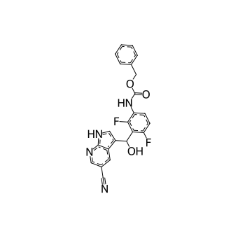 N#Cc1cnc2[nH]cc(C(O)c3c(F)ccc(NC(=O)OCc4ccccc4)c3F)c2c1